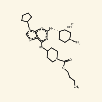 CCCCOC(=O)N1CCC(Nc2nc(N[C@H]3CC[C@H](N)CC3)nc3c2ncn3C2CCCC2)CC1.Cl.Cl